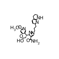 COc1ccc([C@H](CC(=O)O)c2nn(CCCc3ccc4c(n3)NCCC4)cc2C(N)=O)cn1